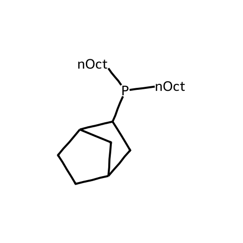 CCCCCCCCP(CCCCCCCC)C1CC2CCC1C2